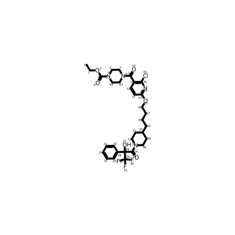 CCOC(=O)N1CCN(C(=O)c2ccc(OCCCCC3CCN(C(=O)C(O)(c4ccccc4)C(F)(F)F)CC3)nc2Cl)CC1